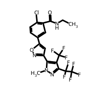 CCNC(=O)c1cc(-c2cc(-c3c(C(F)(F)F)c(C(F)(F)C(F)(F)F)nn3C)no2)ccc1Cl